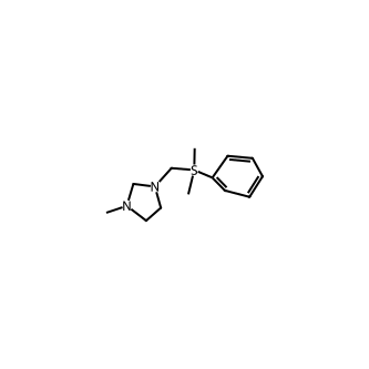 CN1CCN(CS(C)(C)c2ccccc2)C1